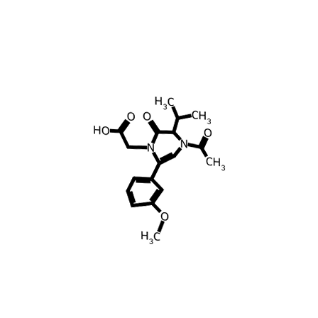 COc1cccc(C2=CN(C(C)=O)C(C(C)C)C(=O)N2CC(=O)O)c1